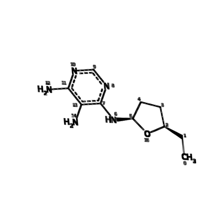 CC[C@@H]1CC[C@H](Nc2ncnc(N)c2N)O1